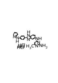 Cc1cc(Nc2ccc3[nH]c(-c4ccc(Nc5ccccn5)cc4)nc3c2)nc(N)n1.Cl.Cl.Cl